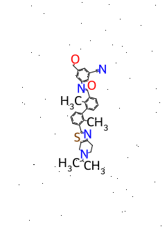 Cc1c(-c2nc3cc(C=O)cc(C#N)c3o2)cccc1-c1cccc(-c2nc3c(s2)CN(C(C)C)CC3)c1C